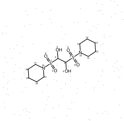 O=S(=O)(C(O)C(O)S(=O)(=O)N1CCCCC1)N1CCCCC1